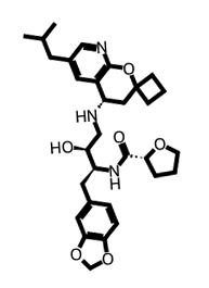 CC(C)Cc1cnc2c(c1)[C@@H](NC[C@H](O)[C@H](Cc1ccc3c(c1)OCO3)NC(=O)[C@H]1CCCO1)CC1(CCC1)O2